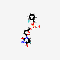 O=c1[nH]c(=O)n(C2CCC(COP(O)OCc3ccccc3F)O2)cc1F